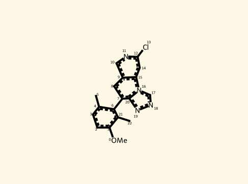 COc1ccc(C)c(-c2cc3cnc(Cl)cc3n3cnnc23)c1C